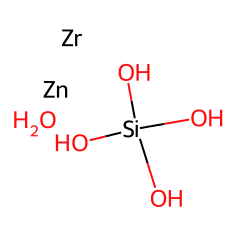 O.O[Si](O)(O)O.[Zn].[Zr]